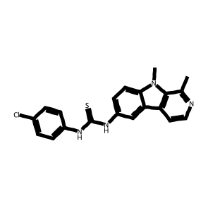 Cc1nccc2c3cc(NC(=S)Nc4ccc(Cl)cc4)ccc3n(C)c12